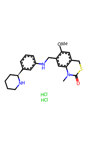 COc1cc2c(cc1CNc1cccc([C@@H]3CCCCN3)c1)N(C)C(=O)SC2.Cl.Cl